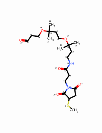 CSC1CC(=O)N(CCC(=O)NCCC(C)(C)OCCC(C)(C)OCCC=O)C1=O